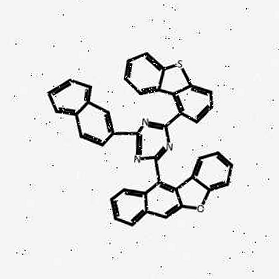 c1ccc2cc(-c3nc(-c4c5ccccc5cc5oc6ccccc6c45)nc(-c4cccc5sc6ccccc6c45)n3)ccc2c1